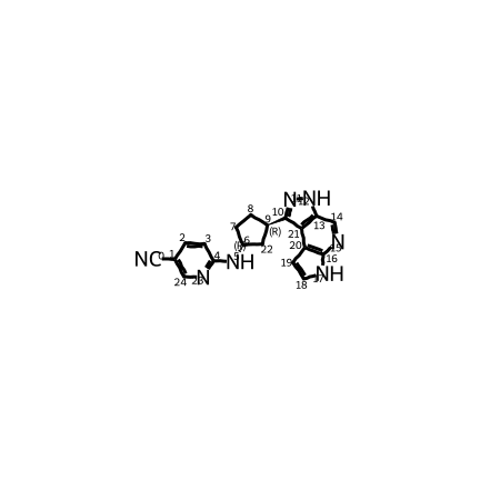 N#Cc1ccc(N[C@@H]2CC[C@@H](c3n[nH]c4cnc5[nH]ccc5c34)C2)nc1